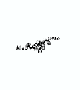 COC(=O)CCCN1C(=O)C(=O)N(CCCC(=O)OC)C1(C)C